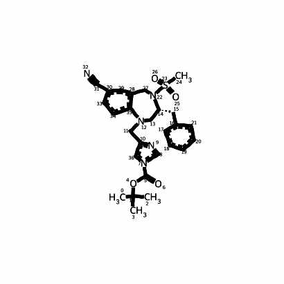 CC(C)(C)OC(=O)n1cnc(CN2C[C@@H](Cc3ccccc3)N(S(C)(=O)=O)Cc3cc(C#N)ccc32)c1